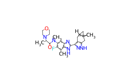 Cc1c(F)c(N(C)C(=O)C(C)N2CCOCC2)cc2nc(-c3n[nH]c4c3C[C@@H]3C[C@]3(C)C4)[nH]c12